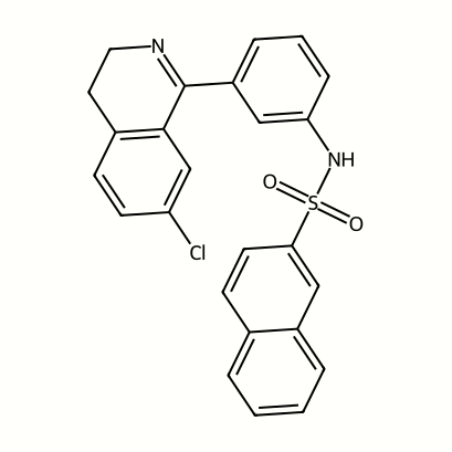 O=S(=O)(Nc1cccc(C2=NCCc3ccc(Cl)cc32)c1)c1ccc2ccccc2c1